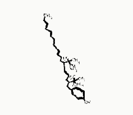 CCCCCCCCCCCCC(CCCC(Cc1ccc(O)cc1)C(C)(C)C)C(C)(C)C